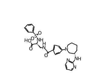 O=C(NC[C@H](NS(=O)(=O)c1ccccc1)C(=O)O)c1ccc(N2CCCC[C@H](Nc3ncccn3)C2)cc1